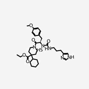 CCOC(=O)C1(C2CCCCC2)CCN(C(=O)[C@@H](Cc2ccc(OC)cc2)N(S)C(=O)NCCCc2c[nH]cn2)CC1